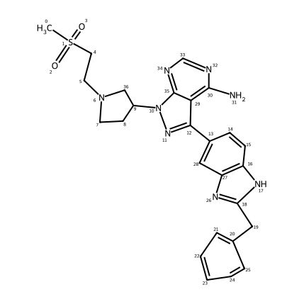 CS(=O)(=O)CCN1CCC(n2nc(-c3ccc4[nH]c(Cc5ccccc5)nc4c3)c3c(N)ncnc32)C1